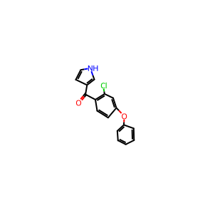 O=C(c1cc[nH]c1)c1ccc(Oc2ccccc2)cc1Cl